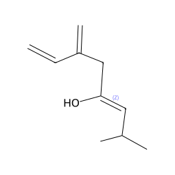 C=CC(=C)C/C(O)=C/C(C)C